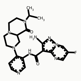 CC(C)N1CCN2CCN(c3ccncc3NC(=O)c3c(N)nn4cc(F)cnc34)CC2C1=O